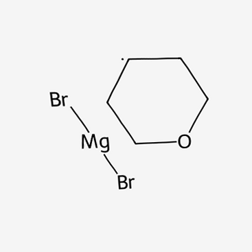 [Br][Mg][Br].[CH]1CCOCC1